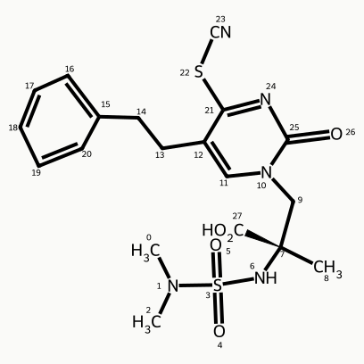 CN(C)S(=O)(=O)N[C@@](C)(Cn1cc(CCc2ccccc2)c(SC#N)nc1=O)C(=O)O